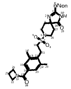 CCCCCCCCCC1=NC2(CCN(S(=O)(=O)CCc3c(C)cc(C(=O)N4CCC4)cc3C)CC2)C(=O)N1